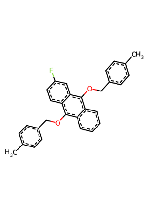 Cc1ccc(COc2c3ccccc3c(OCc3ccc(C)cc3)c3cc(F)ccc23)cc1